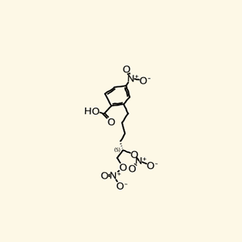 O=C(O)c1ccc([N+](=O)[O-])cc1CCCC[C@@H](CO[N+](=O)[O-])O[N+](=O)[O-]